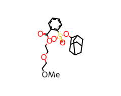 COCCOCCOC(=O)c1ccccc1S(=O)(=O)OC1C2CC3CC(C2)CC1C3